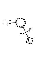 Cc1cccc(C(F)(F)C23CC(C2)C3)c1